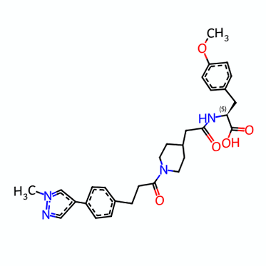 COc1ccc(C[C@H](NC(=O)CC2CCN(C(=O)CCc3ccc(-c4cnn(C)c4)cc3)CC2)C(=O)O)cc1